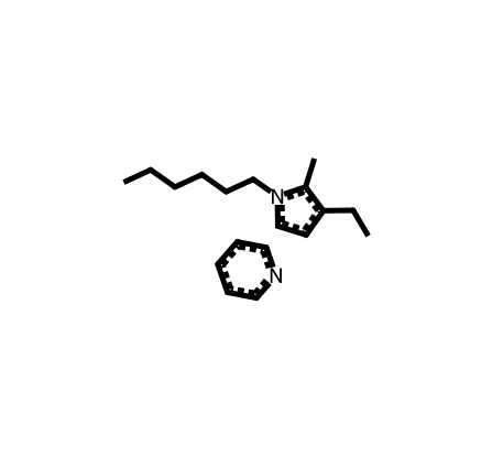 CCCCCCn1ccc(CC)c1C.c1ccncc1